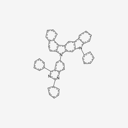 c1ccc(-c2nc(-c3ccccc3)c3cc(-n4c5cc6c(cc5c5c7ccccc7ccc54)c4ccccc4n6-c4ccccc4)ccc3n2)cc1